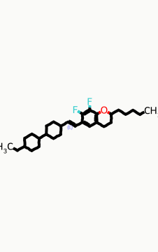 CCCCCC1CCc2cc(/C=C/C3CCC(C4CCC(CC)CC4)CC3)c(F)c(F)c2O1